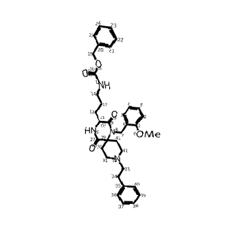 COc1ccccc1CN1C(=O)[C@H](CCCNC(=O)OCc2ccccc2)NC(=O)C12CCN(CCc1ccccc1)CC2